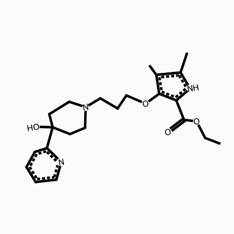 CCOC(=O)c1[nH]c(C)c(C)c1OCCCN1CCC(O)(c2ccccn2)CC1